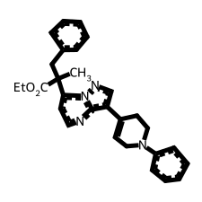 CCOC(=O)C(C)(Cc1ccccc1)c1ccnc2c(C3=CCN(c4ccccc4)CC3)cnn12